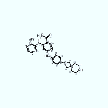 CC(C)c1nccnc1Nc1cc(Nc2ccc(N3CC4(CCNCC4)C3)cn2)ncc1C(N)=O